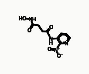 O=C(CCC(=O)Nc1cccnc1[N+](=O)[O-])NO